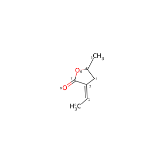 CC=C1CC(C)OC1=O